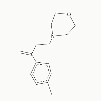 C=C(CCN1CCOCC1)c1ccc(C)cc1